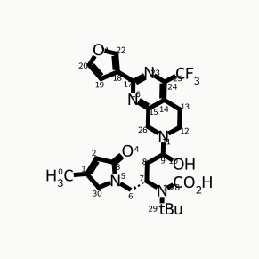 CC1=CC(=O)N(C[C@H](CC(O)N2CCc3c(nc(-c4ccoc4)nc3C(F)(F)F)C2)N(C(=O)O)C(C)(C)C)C1